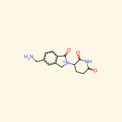 NCc1ccc2c(c1)C[15N](C1CCC(=O)NC1=O)C2=O